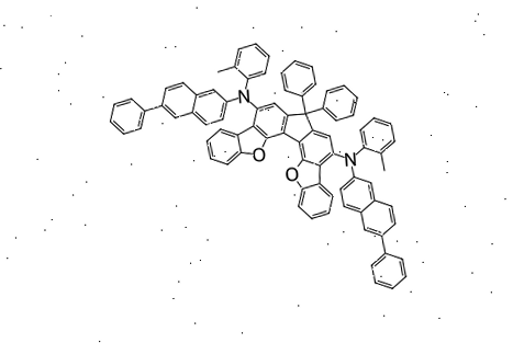 Cc1ccccc1N(c1ccc2cc(-c3ccccc3)ccc2c1)c1cc2c(c3oc4ccccc4c13)-c1c(cc(N(c3ccc4cc(-c5ccccc5)ccc4c3)c3ccccc3C)c3c1oc1ccccc13)C2(c1ccccc1)c1ccccc1